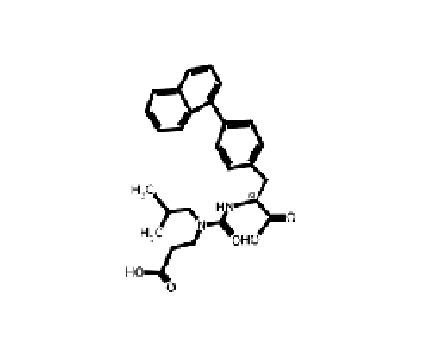 CC(C)CN(CCC(=O)O)C(=O)N[C@@H](Cc1ccc(-c2cccc3ccccc23)cc1)C(=O)O